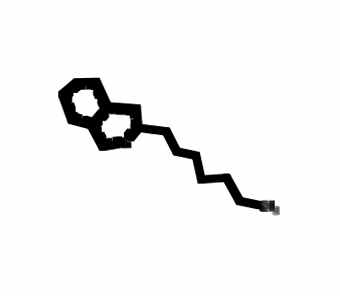 CCCCCCCc1cc2ccccc2cn1